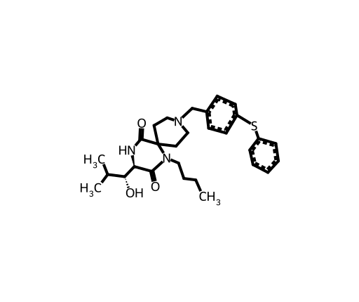 CCCCN1C(=O)[C@@H]([C@H](O)C(C)C)NC(=O)C12CCN(Cc1ccc(Sc3ccccc3)cc1)CC2